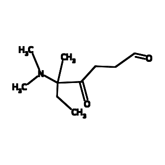 CCC(C)(C(=O)CCC=O)N(C)C